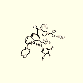 CC(Nc1cc(F)c(F)c(F)c1)c1cc(C(=O)N(C)C2CCN(C(=O)OC(C)(C)C)C2)cc2ncc(N3CCOCC3)nc12